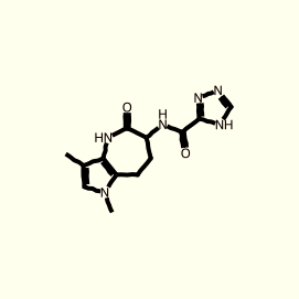 Cc1cn(C)c2c1NC(=O)C(NC(=O)c1nnc[nH]1)CC2